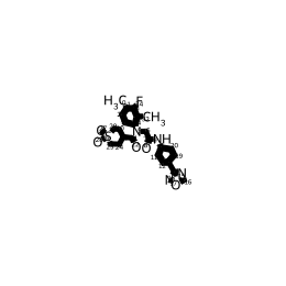 Cc1ccc(N(CC(=O)Nc2ccc(-c3ncon3)cc2)C(=O)C2CCS(=O)(=O)CC2)c(C)c1F